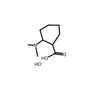 CN(C)C1CCCCC1C(=O)O.Cl